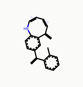 C=C(c1ccc2c(c1)C(=C)/C=C\C=C/N2)c1ccccc1C